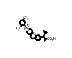 CC(C(=O)O)C(c1ccc2c(c1)OC1(CC2)CCN(S(=O)(=O)c2cc(C(F)(F)F)ccc2C(F)(F)F)CC1)C1CC1